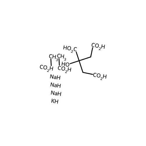 CC(=O)O.CC(=O)O.O=C(O)CC(O)(CC(=O)O)C(=O)O.[KH].[NaH].[NaH].[NaH]